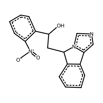 O=[N+]([O-])c1ccccc1C(O)CC1c2ccccc2-c2cncn21